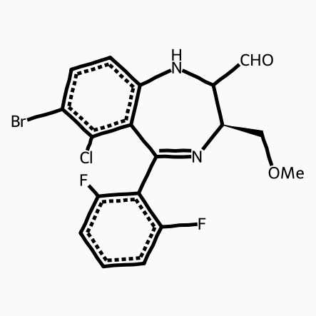 COC[C@H]1N=C(c2c(F)cccc2F)c2c(ccc(Br)c2Cl)NC1C=O